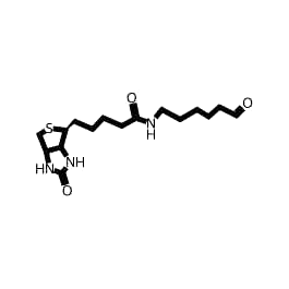 O=CCCCCCNC(=O)CCCC[C@@H]1SCC2NC(=O)NC21